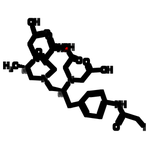 C[C@@H](CN(CC(=O)O)C[C@H](Cc1ccc(NC(=O)CI)cc1)N(CC(=O)O)CC(=O)O)N(CC(=O)O)CC(=O)O